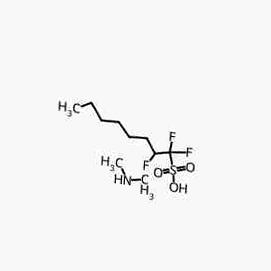 CCCCCCC(F)C(F)(F)S(=O)(=O)O.CNC